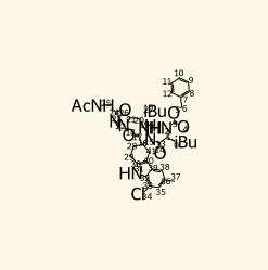 CCC(C)[C@H](NC(=O)OCc1ccccc1)C(=O)N[C@]1(C(=O)N[C@H](c2nnc(NC(C)=O)o2)C(C)CC)CCc2[nH]c3c(Cl)cc(C)cc3c2C1